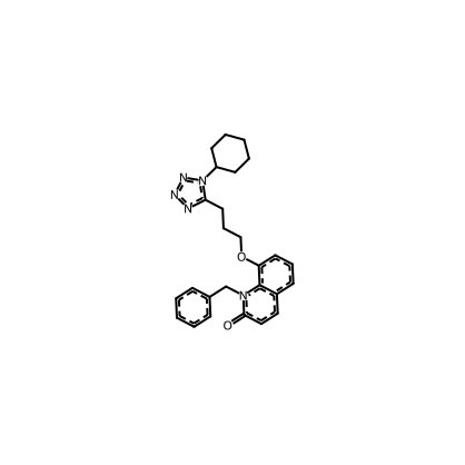 O=c1ccc2cccc(OCCCc3nnnn3C3CCCCC3)c2n1Cc1ccccc1